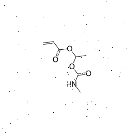 C=CC(=O)OC(C)OC(=O)NC